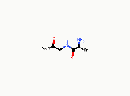 CNC(=O)CNC(=O)[C@@H](N)C(C)C